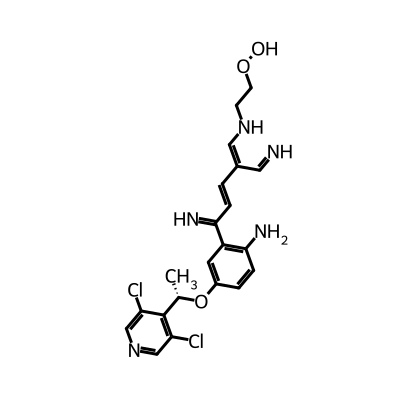 C[C@H](Oc1ccc(N)c(C(=N)/C=C/C(C=N)=C/NCCOO)c1)c1c(Cl)cncc1Cl